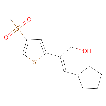 CS(=O)(=O)c1csc(C(=CC2CCCC2)CO)c1